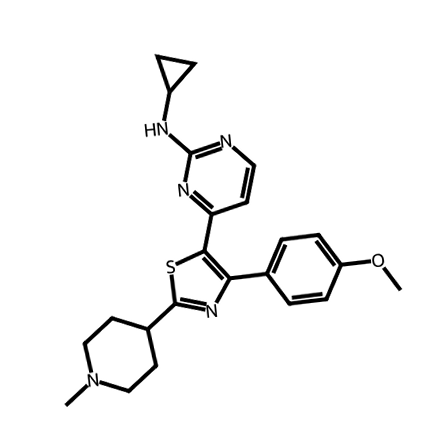 COc1ccc(-c2nc(C3CCN(C)CC3)sc2-c2ccnc(NC3CC3)n2)cc1